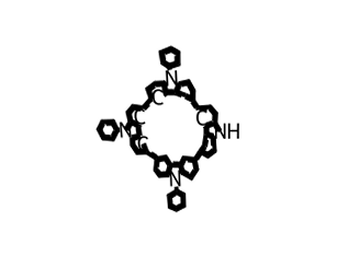 c1ccc(-n2c3ccc4cc3c3cc(ccc32)c2ccc3c(c2)c2cc(ccc2n3-c2ccccc2)c2ccc3c(c2)c2cc(ccc2n3-c2ccccc2)c2ccc3[nH]c5ccc4cc5c3c2)cc1